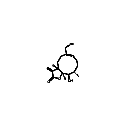 C=C1C(=O)O[C@@H]2[C@H](O)[C@@H](C)CC/C=C(/CO)CC[C@@H]12